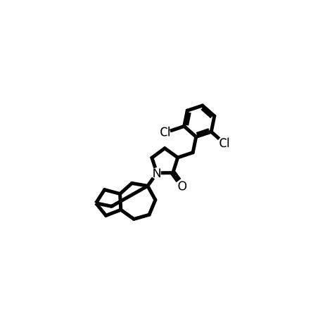 O=C1C(Cc2c(Cl)cccc2Cl)CCN1C12CCCC3CC(CC3C1)C2